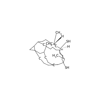 CC1C[C@H](S)C[C@@H](C)CCCC2CC3(C)CCCCCCCC1(S)C1CCCCC4(CC3CCC1)CC24